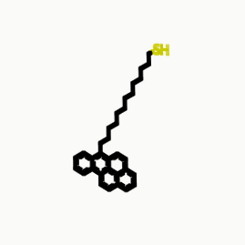 SCCCCCCCCCCCCCc1c2ccccc2c2ccc3cccc4ccc1c2c43